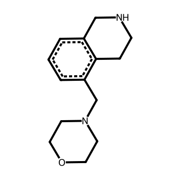 c1cc2c(c(CN3CCOCC3)c1)CCNC2